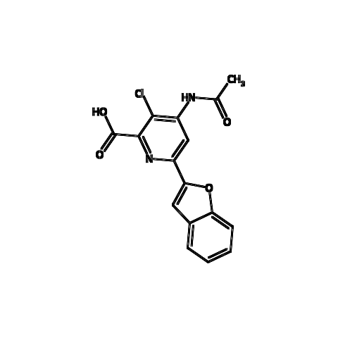 CC(=O)Nc1cc(-c2cc3ccccc3o2)nc(C(=O)O)c1Cl